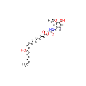 CCCCCCC(O)C/C=C\CCCCCCCC(=O)OCC(=O)NCc1cc(OC)c(O)cc1I